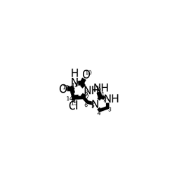 N=C1NCCN1Cc1[nH]c(=O)[nH]c(=O)c1Cl